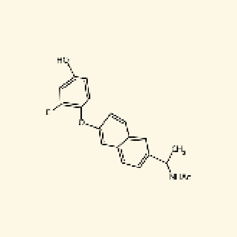 CC(=O)NC(C)c1ccc2cc(Oc3ccc(O)cc3Cl)ccc2c1